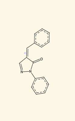 O=C1/C(=C\c2ccccc2)C=NN1c1ccccc1